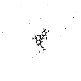 O=C1Cc2c([nH]c3ccc(C(F)(F)F)cc23)-c2cc(C#CCO)ccc2N1